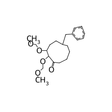 COCOC1CCC(Cc2ccccc2)CCCCC(=O)C1OCOC